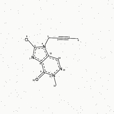 CC#CCn1c(Cl)nc2c(=O)n(C)ncc21